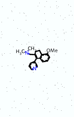 COc1cccc2c1CCC(CN(C)C)=C2c1cccnc1